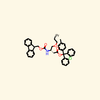 Cc1ccc(C(OC(=O)C[C@@H](COCCC(C)C)NC(=O)OCC2c3ccccc3-c3ccccc32)(c2ccccc2)c2ccccc2Cl)cc1